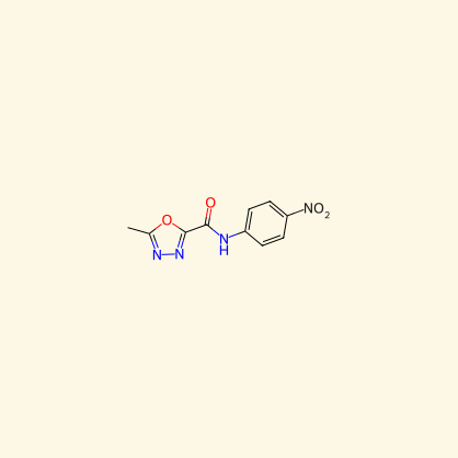 Cc1nnc(C(=O)Nc2ccc([N+](=O)[O-])cc2)o1